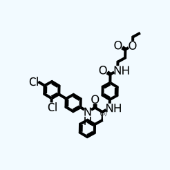 CCOC(=O)CCNC(=O)c1ccc(N[C@@H](Cc2ccccc2)C(=O)Nc2ccc(-c3ccc(Cl)cc3Cl)cc2)cc1